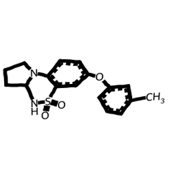 Cc1cccc(Oc2ccc3c(c2)S(=O)(=O)NC2CCCN32)c1